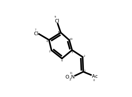 CC(=O)C(=Cc1ccc(Cl)c(Cl)c1)[N+](=O)[O-]